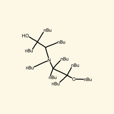 CCCCOC(CCCC)(CCCC)C(CCCC)(CCCC)N(CCCC)C(CCCC)C(O)(CCCC)CCCC